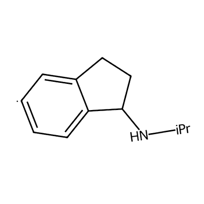 CC(C)NC1CCc2c[c]ccc21